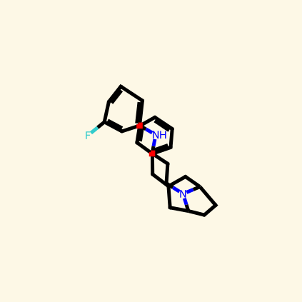 Fc1cccc(NCCCN2C3CCC2CC(Cc2ccccc2)C3)c1